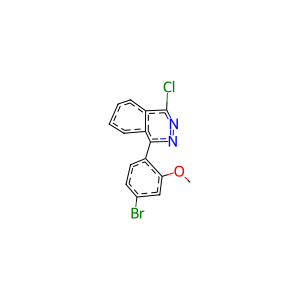 COc1cc(Br)ccc1-c1nnc(Cl)c2ccccc12